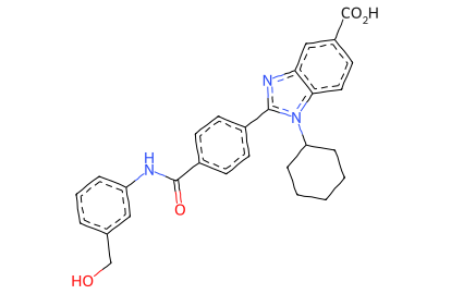 O=C(O)c1ccc2c(c1)nc(-c1ccc(C(=O)Nc3cccc(CO)c3)cc1)n2C1CCCCC1